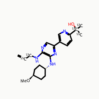 C=[13CH][13CH2]Nc1ncc(-c2ccc([13C]([13CH3])([13CH3])O)nc2)nc1N[C@H]1CC[C@H](OC)CC1